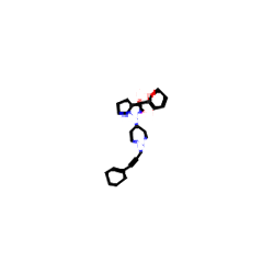 O=C(NC1CCN(CC#CC2=CCCCC2)CC1)C(O)(c1ccccc1)C1CCCC1